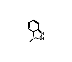 CN1NN=C2C=CC=CC21